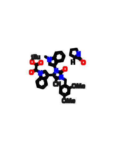 COc1ccc(Cn2c(C#N)c(-c3cn(C(=O)C(=O)OC(C)(C)C)c4ccccc34)n(-c3cn(C)c4ccccc34)c2=O)c(OC)c1.O=C1[C@@H]2CCCN12